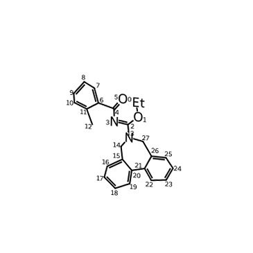 CCO/C(=N\C(=O)c1ccccc1C)N1Cc2ccccc2-c2ccccc2C1